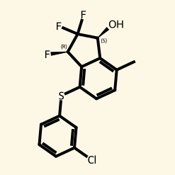 Cc1ccc(Sc2cccc(Cl)c2)c2c1[C@H](O)C(F)(F)[C@@H]2F